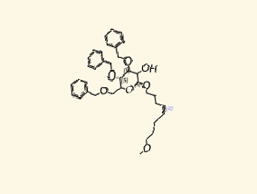 COCCC/C=C\CCCO[C@H]1OC(COCc2ccccc2)[C@H](OCc2ccccc2)[C@@H](OCc2ccccc2)C1O